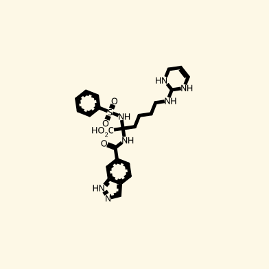 O=C(NC(CCCCNC1NC=CCN1)(NS(=O)(=O)c1ccccc1)C(=O)O)c1ccc2cn[nH]c2c1